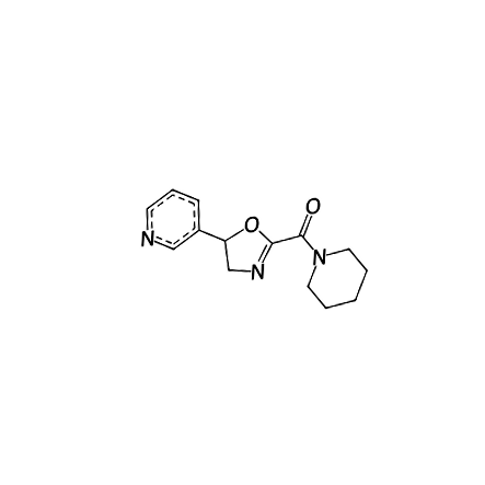 O=C(C1=NCC(c2cccnc2)O1)N1CCCCC1